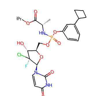 CC(C)OC(=O)[C@H](C)NP(=O)(OC[C@H]1O[C@@H](n2ccc(=O)[nH]c2=O)[C@@](F)(Cl)[C@@H]1O)Oc1cccc(C2CCC2)c1